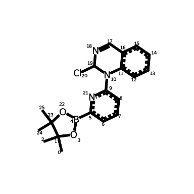 CC1(C)OB(c2cccc(N3c4ccccc4C=NC3Cl)n2)OC1(C)C